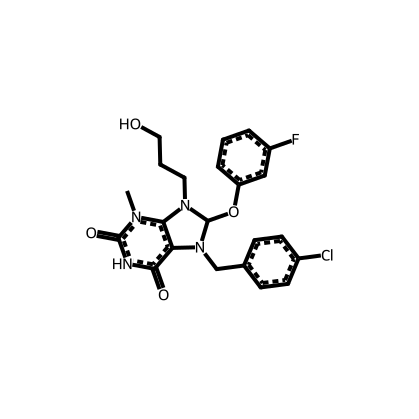 Cn1c2c(c(=O)[nH]c1=O)N(Cc1ccc(Cl)cc1)C(Oc1cccc(F)c1)N2CCCO